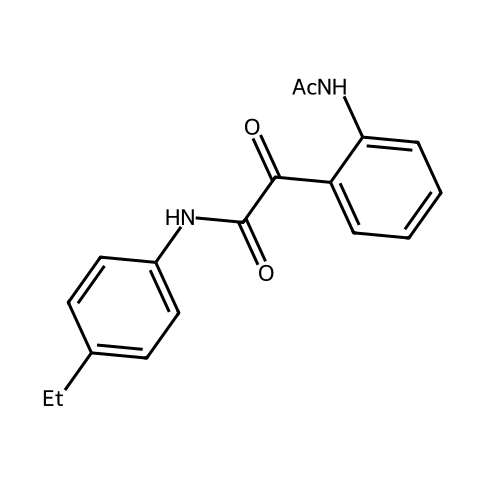 CCc1ccc(NC(=O)C(=O)c2ccccc2NC(C)=O)cc1